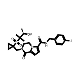 C[C@@H](O)C(C)(C)S(=O)(=O)C1(CN2CCn3c(C(=O)NCc4ccc(Cl)cc4)ccc3C2=O)CC1